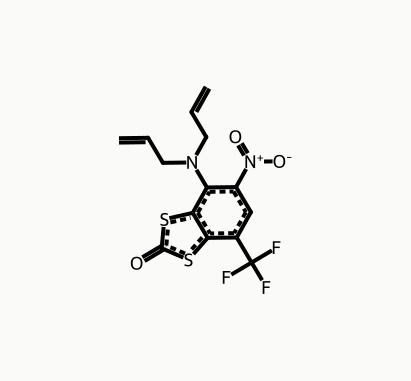 C=CCN(CC=C)c1c([N+](=O)[O-])cc(C(F)(F)F)c2sc(=O)sc12